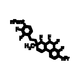 CCCCCc1ccc(CCC2(C)C=CC3=C(C(F)C(F)c4c3ccc(CCC)c4F)C2F)c(F)c1F